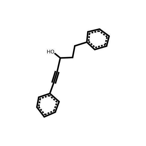 OC(C#Cc1ccccc1)CCc1ccccc1